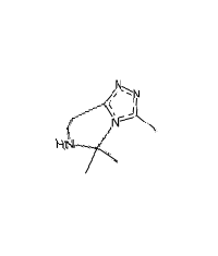 Cc1nnc2n1C(C)(C)NC2